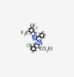 CCOC(=O)Cc1nnc(-c2nnn(Cc3cc(C(F)(F)F)cc(C(F)(F)F)c3)c2-c2ccccc2)n1Cc1ccccc1Cl